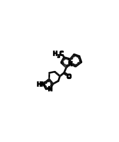 Cc1cc(C(=O)C2CCc3[nH]cnc3C2)n2ccccc12